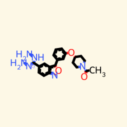 CC(=O)N1CCC(Oc2cccc(-c3onc4ccc(/C(=N/N)NN)cc34)c2)CC1